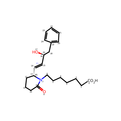 O=C(O)CCCCCCN1C(=O)CCC[C@@H]1/C=C/[C@@H](O)Cc1ccccc1